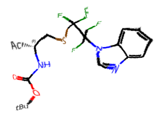 CC(=O)[C@H](CSC(F)(F)C(F)(F)n1cnc2ccccc21)NC(=O)OC(C)(C)C